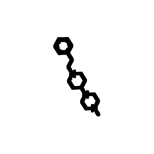 CN1CCN(C2CCN(CCc3ccccc3)CC2)CC1